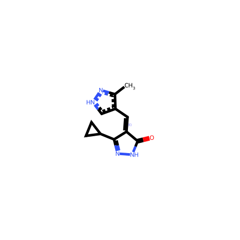 Cc1n[nH]cc1/C=C1/C(=O)NN=C1C1CC1